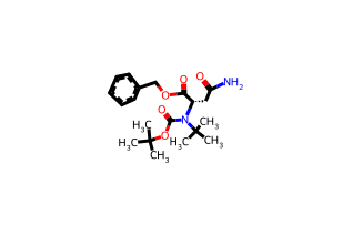 CC(C)(C)OC(=O)N([C@@H](CC(N)=O)C(=O)OCc1ccccc1)C(C)(C)C